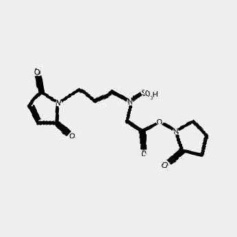 O=C(CN(CCCN1C(=O)C=CC1=O)S(=O)(=O)O)ON1CCCC1=O